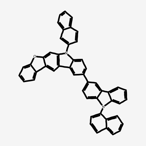 c1ccc2cc(-n3c4ccc(-c5ccc6c(c5)c5ccccc5n6-c5cccc6ccccc56)cc4c4cc5c(cc43)oc3ccccc35)ccc2c1